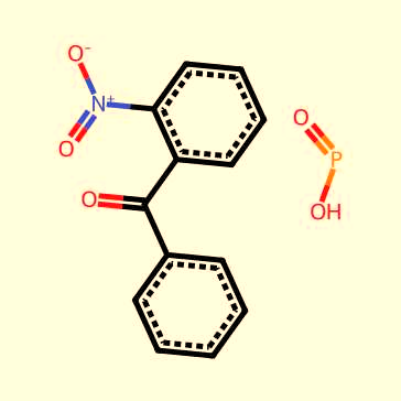 O=C(c1ccccc1)c1ccccc1[N+](=O)[O-].O=PO